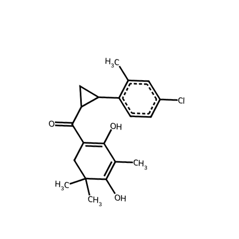 CC1=C(O)C(C)(C)CC(C(=O)C2CC2c2ccc(Cl)cc2C)=C1O